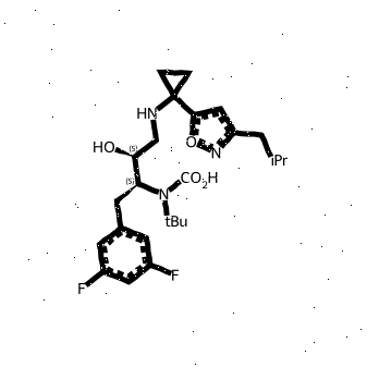 CC(C)Cc1cc(C2(NC[C@H](O)[C@H](Cc3cc(F)cc(F)c3)N(C(=O)O)C(C)(C)C)CC2)on1